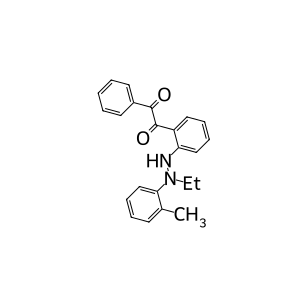 CCN(Nc1ccccc1C(=O)C(=O)c1ccccc1)c1ccccc1C